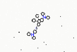 C(=C\c1ccc2c(c1)c(-c1ccccc1)c(-c1ccccc1)c1cc(N(c3ccccc3)c3ccccc3)ccc12)/c1ccc(N(c2ccccc2)c2ccccc2)cc1